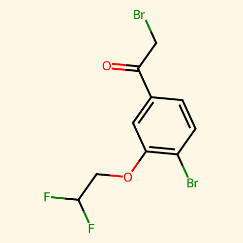 O=C(CBr)c1ccc(Br)c(OCC(F)F)c1